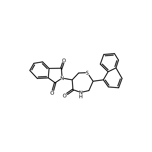 O=C1NCC(c2cccc3ccccc23)SCC1N1C(=O)c2ccccc2C1=O